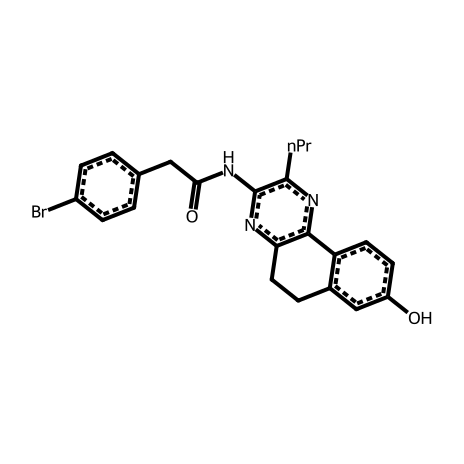 CCCc1nc2c(nc1NC(=O)Cc1ccc(Br)cc1)CCc1cc(O)ccc1-2